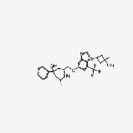 CC1CC(O)(c2ccccc2)CC(COc2cc(C(F)(F)F)c3c(c2)ncn3C2CC(C)(O)C2)N1